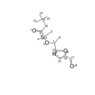 CC(O[Si](C)(C)C(=O)CC(C)(C)C)c1ncc(C=O)o1